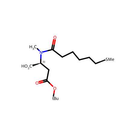 CSCCCCCC(=O)N(C)[C@@H](CC(=O)OC(C)(C)C)C(=O)O